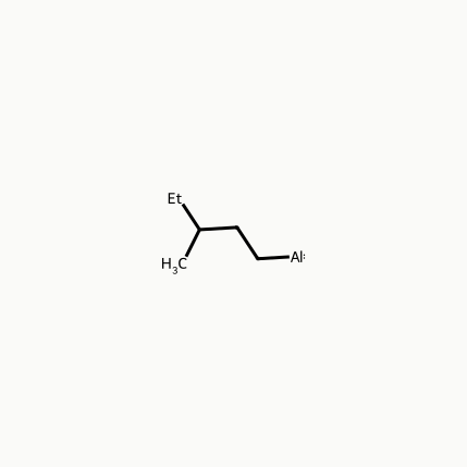 CCC(C)C[CH2][Al]